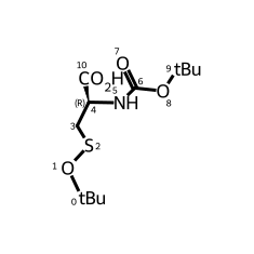 CC(C)(C)OSC[C@H](NC(=O)OC(C)(C)C)C(=O)O